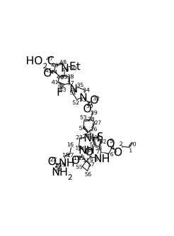 C=CCOC(=O)C[C@@H](NC(=O)C1(C(=O)N[C@H](CCCNC(N)=O)CNc2ccc(COC(=O)N3CCN(c4cc5c(cc4F)c(=O)c(C(=O)O)cn5CC)CC3)cc2)CCC1)c1ccsc1